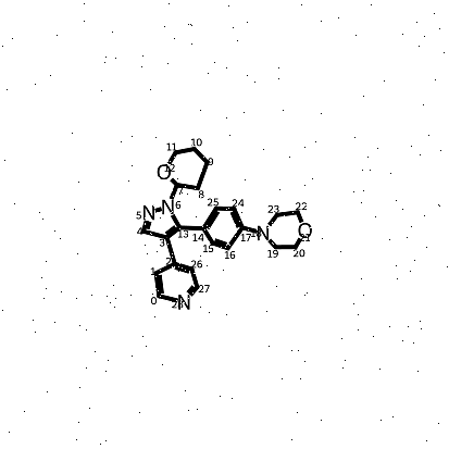 c1cc(-c2cnn(C3CCCCO3)c2-c2ccc(N3CCOCC3)cc2)ccn1